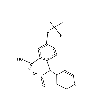 O=C(O)c1cc(OC(F)(F)F)ccc1N(C1=CCSC=C1)[SH](=O)=O